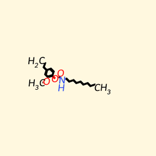 C=CCc1ccc(OC(=O)NCCCCCCCCCC)c(OC)c1